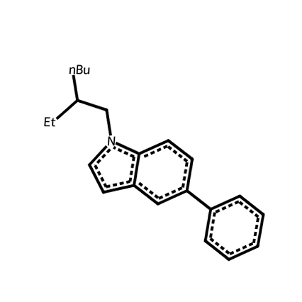 CCCCC(CC)Cn1ccc2cc(-c3ccccc3)ccc21